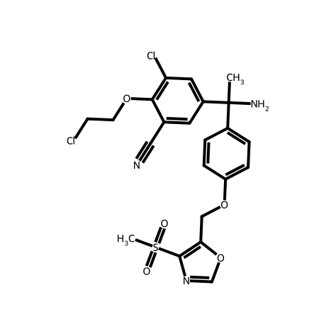 CC(N)(c1ccc(OCc2ocnc2S(C)(=O)=O)cc1)c1cc(Cl)c(OCCCl)c(C#N)c1